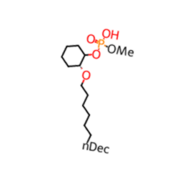 CCCCCCCCCCCCCCCCO[C@@H]1CCCCC1OP(=O)(O)OC